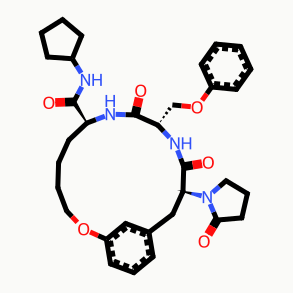 O=C(NC1CCCC1)[C@@H]1CCCCOc2cccc(c2)C[C@H](N2CCCC2=O)C(=O)N[C@@H](COc2ccccc2)C(=O)N1